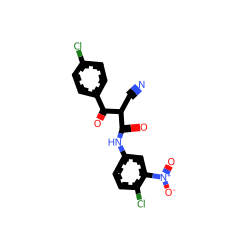 N#CC(C(=O)Nc1ccc(Cl)c([N+](=O)[O-])c1)C(=O)c1ccc(Cl)cc1